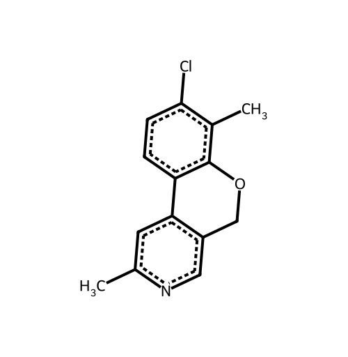 Cc1cc2c(cn1)COc1c-2ccc(Cl)c1C